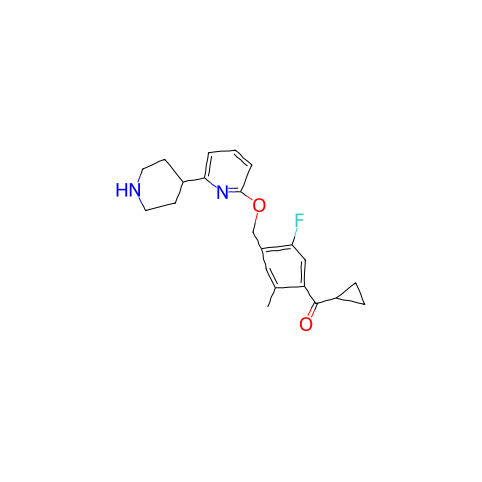 Cc1cc(COc2cccc(C3CCNCC3)n2)c(F)cc1C(=O)C1CC1